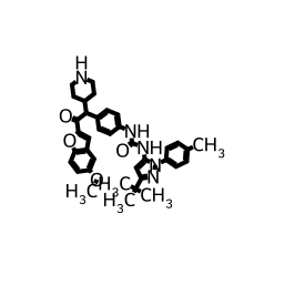 COc1ccc2oc(C(=O)C(c3ccc(NC(=O)Nc4cc(C(C)(C)C)nn4-c4ccc(C)cc4)cc3)C3CCNCC3)cc2c1